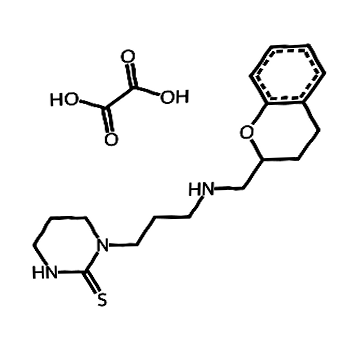 O=C(O)C(=O)O.S=C1NCCCN1CCCNCC1CCc2ccccc2O1